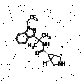 CC(C)(NC(=O)[C@@H]1C2CNC[C@H]21)c1nn(CC(F)(F)F)c2ccccc12